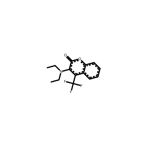 CCN(CC)c1c(C(F)(F)F)c2ccccc2oc1=O